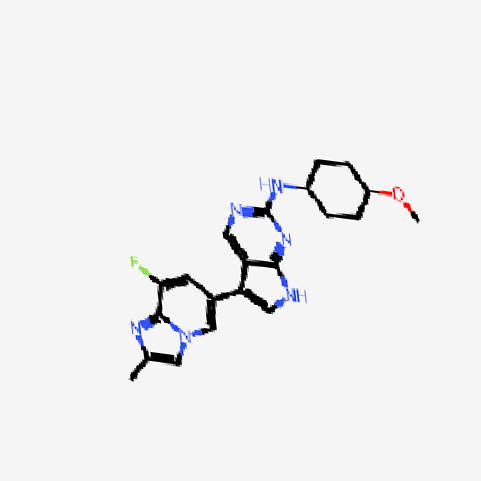 CO[C@H]1CC[C@@H](Nc2ncc3c(-c4cc(F)c5nc(C)cn5c4)c[nH]c3n2)CC1